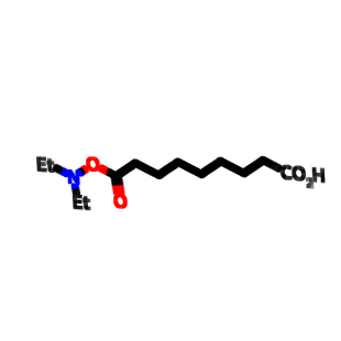 CCN(CC)OC(=O)CCCCCCCC(=O)O